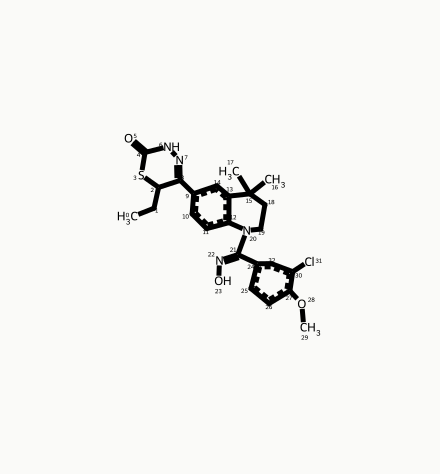 CCC1SC(=O)NN=C1c1ccc2c(c1)C(C)(C)CCN2C(=NO)c1ccc(OC)c(Cl)c1